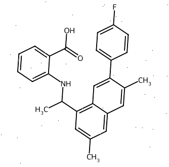 Cc1cc(C(C)Nc2ccccc2C(=O)O)c2cc(-c3ccc(F)cc3)c(C)cc2c1